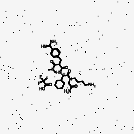 CN(C)C(=O)C(Cc1ccc(C(=N)N)cc1)C(=O)N[C@H](C(=O)N(CCCCN)CC(N)=O)C1CCCCC1.O=C(O)C(F)(F)F